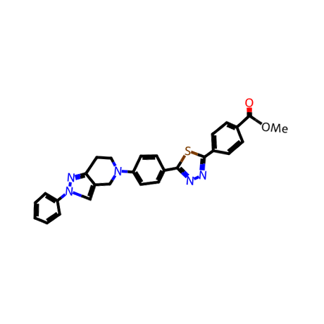 COC(=O)c1ccc(-c2nnc(-c3ccc(N4CCc5nn(-c6ccccc6)cc5C4)cc3)s2)cc1